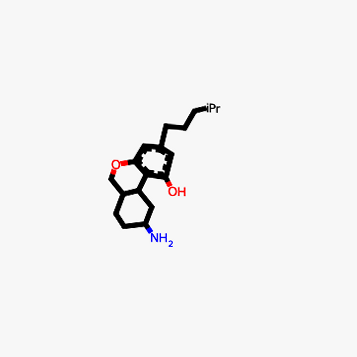 CC(C)CCCc1cc(O)c2c(c1)OCC1CCC(N)CC21